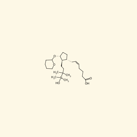 CC(C)(CC[C@@H]1[C@@H](C/C=C\CCCC(=O)O)CC[C@H]1OC1CCCCO1)[Si](C)(C)O